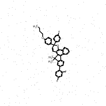 CCCCOc1ccc(C2(c3ccc(F)cc3)C=Cc3c4c(c5ccccc5c3O2)-c2ccc(-c3ccc(F)cc3F)cc2C4(C)C)cc1